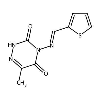 Cc1n[nH]c(=O)n(/N=C/c2cccs2)c1=O